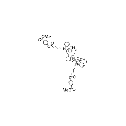 COC(=O)c1ccc(OC(=O)CCCCCN2/C(=C/C=C3\CCCC(/C=C/C4=[N+](CCCCCC(=O)Oc5ccc(C(=O)OC)cc5)c5ccccc5C4(C)C)=C3Cl)C(C)(C)c3ccccc32)cc1